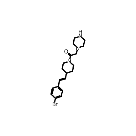 O=C(CN1CCNCC1)N1CCC(/C=C/c2ccc(Br)cc2)CC1